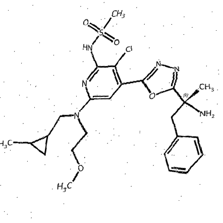 COCCN(CC1CC1C)c1cc(-c2nnc([C@](C)(N)Cc3ccccc3)o2)c(Cl)c(NS(C)(=O)=O)n1